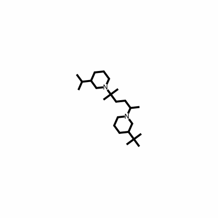 CC(C)C1CCCN(C(C)(C)CCC(C)N2CCCC(C(C)(C)C)C2)C1